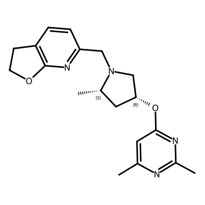 Cc1cc(O[C@@H]2C[C@H](C)N(Cc3ccc4c(n3)OCC4)C2)nc(C)n1